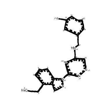 COCc1cccc2c1cnn2-c1nncc(NCc2cccc(F)c2)n1